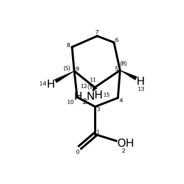 C=C(O)C1C[C@H]2CCC[C@@H](C1)[C@@H]2N